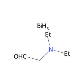 CCN(CC)CC=O.[BiH3]